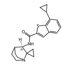 O=C(N[C@@H]1C2CCN(CC2)C12CC2)c1cc2cccc(C3CC3)c2s1